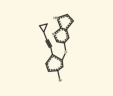 Brc1ccc(C#CC2CC2)c(Oc2cnc3[nH]ccc3c2)c1